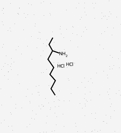 CCCCCCC(N)CC.Cl.Cl